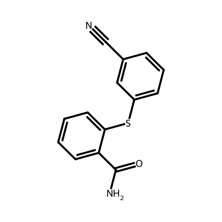 N#Cc1cccc(Sc2ccccc2C(N)=O)c1